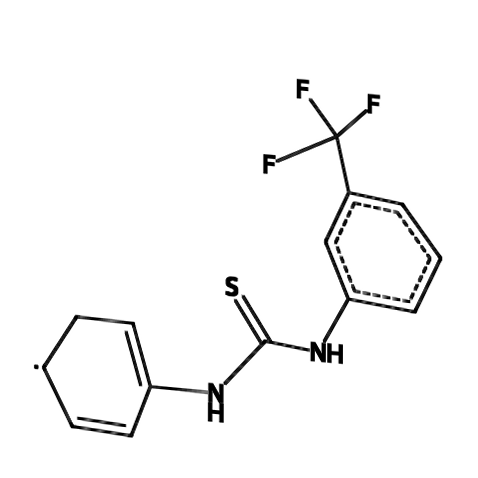 FC(F)(F)c1cccc(NC(=S)NC2=CC[CH]C=C2)c1